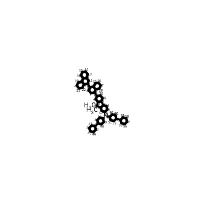 CC1(C)c2cc(-c3ccc(-c4cc5ccccc5c5ccccc45)c4ccccc34)ccc2-c2ccc(N(c3ccc(-c4ccccc4)cc3)c3ccc(-c4ccccc4)cc3)cc21